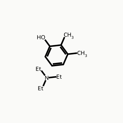 CCN(CC)CC.Cc1cccc(O)c1C